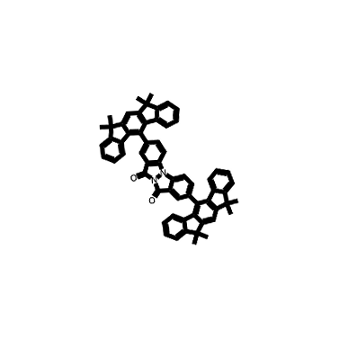 CC1(C)c2ccccc2-c2c1cc1c(c2-c2ccc3c(c2)c(=O)n2c(=O)c4cc(-c5c6c(cc7c5-c5ccccc5C7(C)C)C(C)(C)c5ccccc5-6)ccc4n32)-c2ccccc2C1(C)C